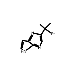 CCC(C)(C)c1cnc2[nH]ccc2n1